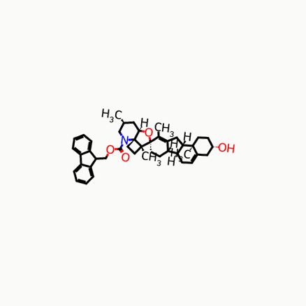 CC1=C2C[C@H]3[C@@H](CC=C4C[C@@H](O)CC[C@@]43C)[C@@H]2CC[C@]12O[C@@H]1C[C@H](C)CN(C(=O)OCC3c4ccccc4-c4ccccc43)[C@]13CC[C@@]23C